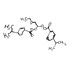 [CH2]COC[C](OOC(=O)c1ccc(C(C)C)cc1)OOC(=O)c1ccc(C(C)C)cc1